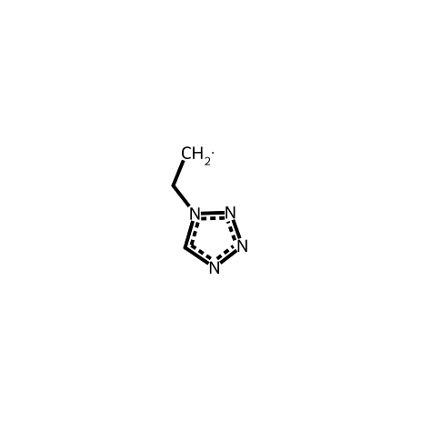 [CH2]Cn1cnnn1